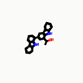 CC(O)c1cc(-c2cccc3c2[nH]c2ccccc23)cc2c1[nH]c1ccccc12